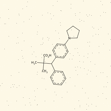 CC(C)(C(=O)O)C(c1ccccc1)c1ccc(N2CCCC2)cc1